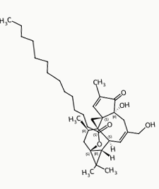 CCCCCCCCCCCCCC(=O)O[C@@]12C[C@@H](C)[C@]34C[C@]35C=C(C)C(=O)[C@@]5(O)CC(CO)=C[C@H]4[C@@H]1C2(C)C